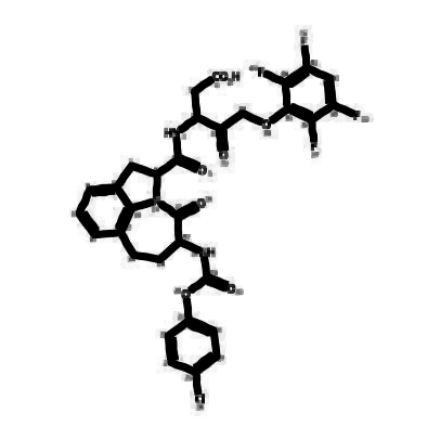 O=C(O)CC(NC(=O)C1Cc2cccc3c2N1C(=O)C(NC(=O)Oc1ccc(Cl)cc1)CC3)C(=O)COc1c(F)c(F)cc(F)c1F